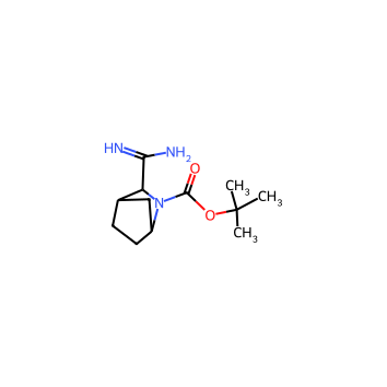 CC(C)(C)OC(=O)N1C2CCC(C2)C1C(=N)N